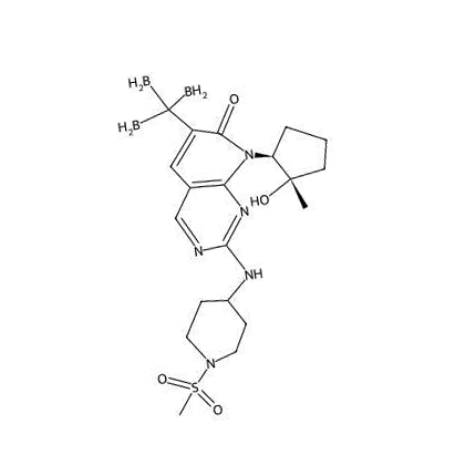 BC(B)(B)c1cc2cnc(NC3CCN(S(C)(=O)=O)CC3)nc2n([C@H]2CCC[C@]2(C)O)c1=O